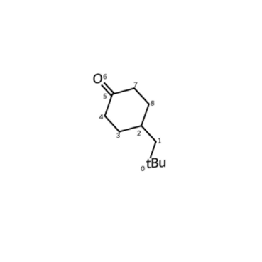 CC(C)(C)CC1CCC(=O)CC1